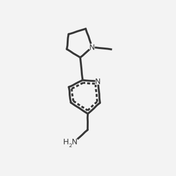 CN1CCCC1c1ccc(CN)cn1